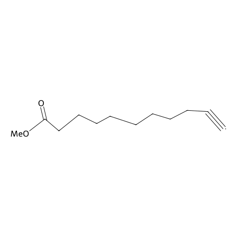 [C]#CCCCCCCCCC(=O)OC